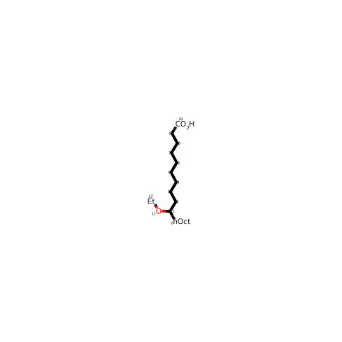 CCCCCCCCC(CCCCCCCCC(=O)O)OCC